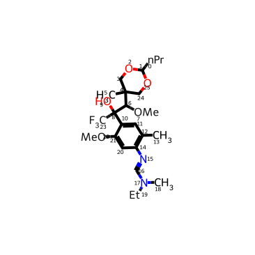 CCCC1OCC(C)(C(OC)C(O)(c2cc(C)c(N=CN(C)CC)cc2OC)C(F)(F)F)CO1